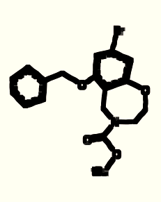 CC(C)(C)OC(=O)N1CCOc2cc(Br)cc(OCc3ccccc3)c2C1